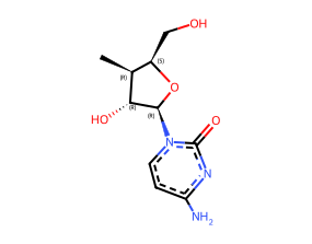 C[C@@H]1[C@@H](O)[C@H](n2ccc(N)nc2=O)O[C@@H]1CO